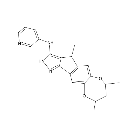 CC1CC(C)Oc2cc3c(cc2O1)-c1n[nH]c(Nc2cccnc2)c1C3C